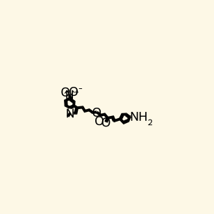 Cn1cc(CCCCOC(=O)CC(=O)/C=C/c2ccc(N)cc2)c2cc([N+](=O)[O-])ccc21